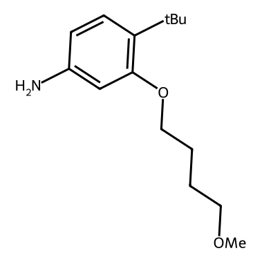 COCCCCOc1cc(N)ccc1C(C)(C)C